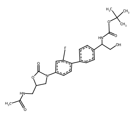 CC(=O)NCC1CN(c2ccc(-c3ccc(C(CO)NC(=O)OC(C)(C)C)cc3)c(F)c2)C(=O)O1